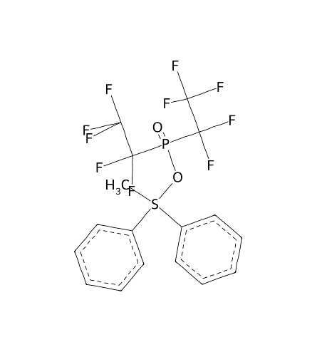 CS(OP(=O)(C(F)(F)C(F)(F)F)C(F)(F)C(F)(F)F)(c1ccccc1)c1ccccc1